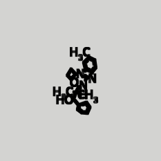 Cc1ccc2nc(NC(=O)C(C)(C)C(O)c3ccccc3)n(C3CCC3)c2c1